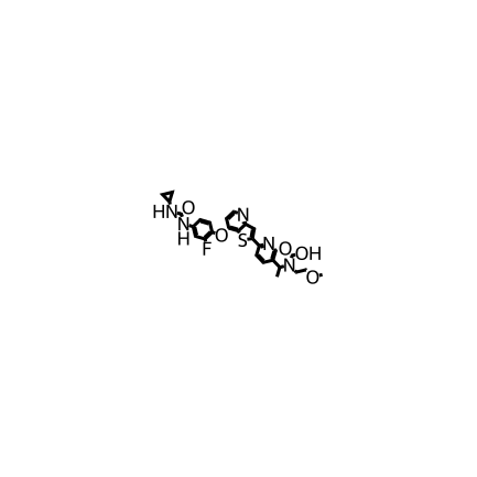 COCCN(C(=O)O)C(C)c1ccc(-c2cc3nccc(Oc4ccc(NC(=O)NC5CC5)cc4F)c3s2)nc1